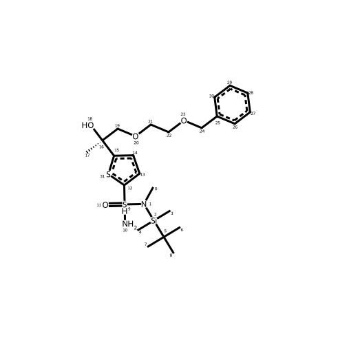 CN([Si](C)(C)C(C)(C)C)[SH](N)(=O)c1ccc([C@@](C)(O)COCCOCc2ccccc2)s1